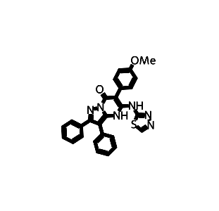 COc1ccc(-c2c(Nc3nncs3)[nH]c3c(-c4ccccc4)c(-c4ccccc4)nn3c2=O)cc1